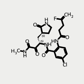 C=C(F)CCC(=O)Nc1ccc(Cl)cc1C(=O)N[C@@H](C[C@@H]1CCNC1=O)C(=O)C(=O)NC